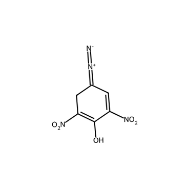 [N-]=[N+]=C1C=C([N+](=O)[O-])C(O)=C([N+](=O)[O-])C1